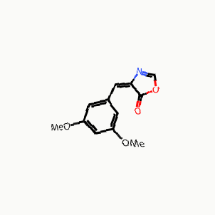 COc1cc(C=C2N=COC2=O)cc(OC)c1